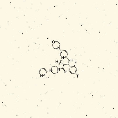 Cc1c(N2CCN(c3cccnc3)CC2)nc2cc(F)cc(F)c2c1Nc1ccc(N2CCOCC2)cn1